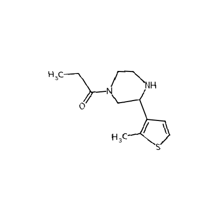 CCC(=O)N1CCNC(c2ccsc2C)C1